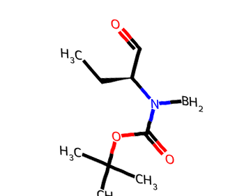 BN(C(=O)OC(C)(C)C)[C@H](C=O)CC